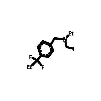 CCN(CI)Cc1ccc(C(F)(F)CC)cc1